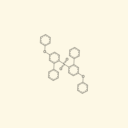 O=S(=O)(c1ccc(Oc2ccccc2)cc1-c1ccccc1)c1ccc(Oc2ccccc2)cc1-c1ccccc1